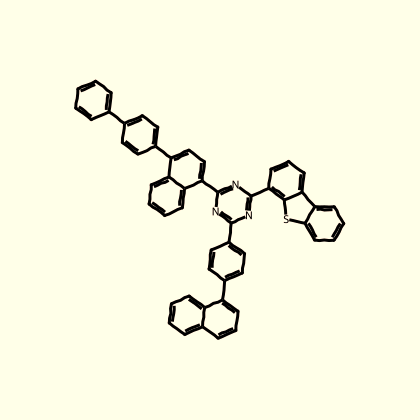 c1ccc(-c2ccc(-c3ccc(-c4nc(-c5ccc(-c6cccc7ccccc67)cc5)nc(-c5cccc6c5sc5ccccc56)n4)c4ccccc34)cc2)cc1